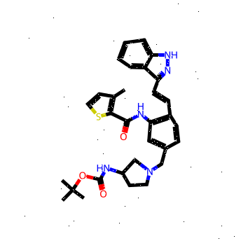 Cc1ccsc1C(=O)Nc1cc(CN2CCC(NC(=O)OC(C)(C)C)C2)ccc1C=Cc1n[nH]c2ccccc12